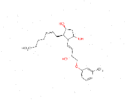 O=C(O)CCC/C=C\C[C@@H]1C(/C=C/[C@@H](O)COc2cccc(C(F)(F)F)c2)C(O)C[C@@H]1O